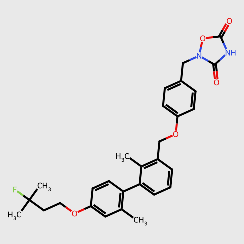 Cc1cc(OCCC(C)(C)F)ccc1-c1cccc(COc2ccc(Cn3oc(=O)[nH]c3=O)cc2)c1C